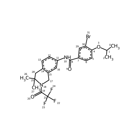 CC(C)Oc1ccc(C(=O)Nc2ccc3c(c2)CN(C(=O)C(F)(F)F)C(C)(C)C3)cc1Br